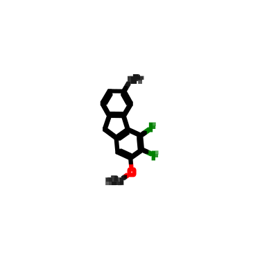 CCCCOc1cc2c(c(F)c1F)-c1cc(CCC)ccc1C2